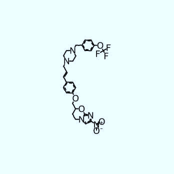 O=[N+]([O-])c1cn2c(n1)OC(COc1ccc(C=CCN3CCN(Cc4ccc(OC(F)(F)F)cc4)CC3)cc1)CC2